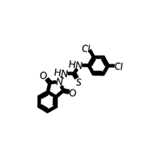 O=C1c2ccccc2C(=O)N1NC(=S)Nc1ccc(Cl)cc1Cl